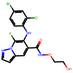 O=C(NOCCO)c1cc2ccnn2c(F)c1Nc1ccc(Br)cc1Cl